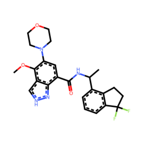 COc1c(N2CCOCC2)cc(C(=O)NC(C)c2cccc3c2CCC3(F)F)c2n[nH]cc12